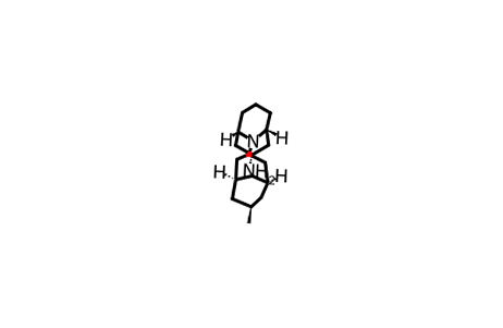 C[C@H]1C[C@H]2CC(N3[C@@H]4CCC[C@H]3C[C@@H](N)C4)C[C@@H](C1)C2